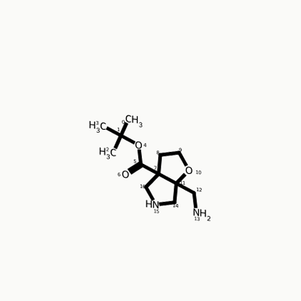 CC(C)(C)OC(=O)C12CCOC1(CN)CNC2